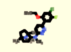 COCOc1cc(Cl)c(F)cc1-c1ccc(N(C)C2CCC3(C)CCC2(C)N3C(=O)O)nn1